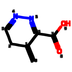 C=C1CC=NN=C1C(=O)O